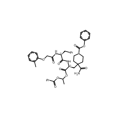 Cc1ccccc1OCC(=O)N[C@@H](CC(C)C)C(=O)N[C@@H](CC1(C(N)=O)CCN(C(=O)Oc2ccccc2)CC1)C(=O)OC(C)OC(=O)C(C)C